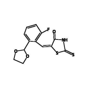 O=C1NC(=S)S/C1=C/c1c(F)cccc1C1OCCO1